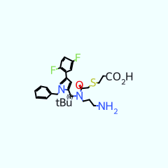 CC(C)(C)[C@H](c1cc(-c2cc(F)ccc2F)cn1Cc1ccccc1)N(CCCN)C(=O)CSCCC(=O)O